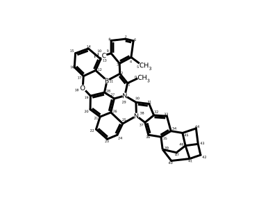 CC1=C(c2c(C)cccc2C)B2c3ccccc3Oc3cc4cccc5c4c(c32)n1c1cc2cc3c(cc2n51)C1CC2CC4CC3C24C1